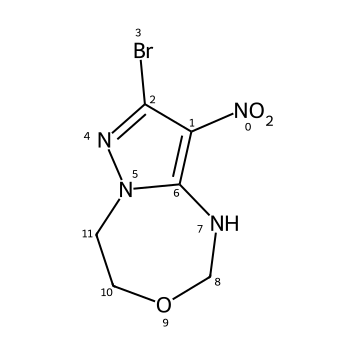 O=[N+]([O-])c1c(Br)nn2c1NCOCC2